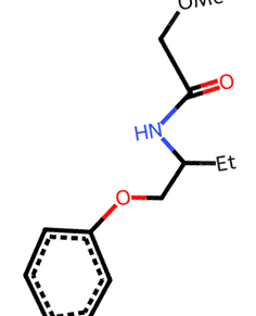 CCC(COc1ccccc1)NC(=O)COC